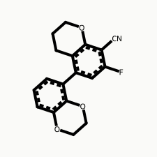 N#Cc1c(F)cc(-c2cccc3c2OCCO3)c2c1OCCC2